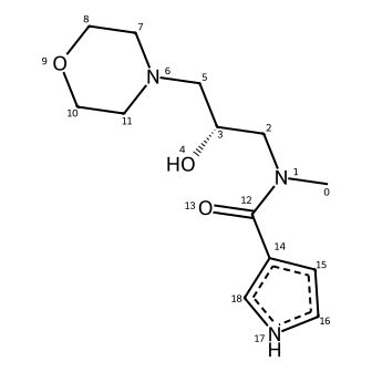 CN(C[C@H](O)CN1CCOCC1)C(=O)c1cc[nH]c1